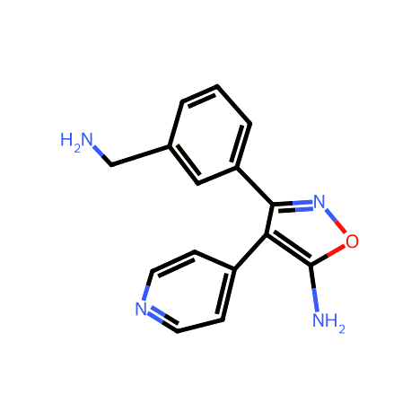 NCc1cccc(-c2noc(N)c2-c2ccncc2)c1